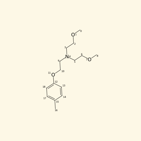 COCCN(CCOC)CCOc1ccc(C)cc1